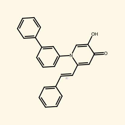 O=c1cc(/C=C/c2ccccc2)n(-c2cccc(-c3ccccc3)c2)cc1O